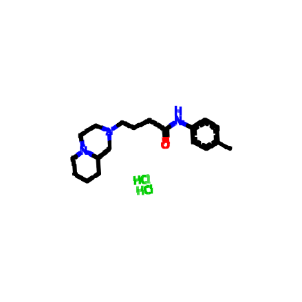 Cc1ccc(NC(=O)CCCN2CCN3CCCCC3C2)cc1.Cl.Cl